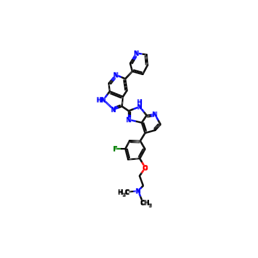 CN(C)CCOc1cc(F)cc(-c2ccnc3[nH]c(-c4n[nH]c5cnc(-c6cccnc6)cc45)nc23)c1